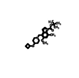 COc1cc(C)c2c(ccn2C(=O)OC(C)(C)C)c1CN1CCC(OC2CCC2)CC1